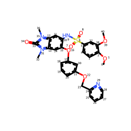 COc1ccc(S(=O)(=O)Nc2cc3c(cc2Oc2cccc(OCc4ccccn4)c2)n(C)c(=O)n3C)cc1OC